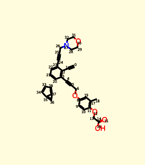 C#Cc1c(C#CCOc2ccc(OCC(=O)O)c(C)c2)cccc1C#CCN1CCOCC1.c1cc2cc-2c1